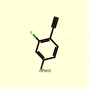 C#Cc1ccc(CCCCC)cc1F